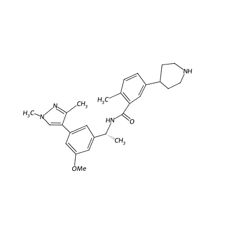 COc1cc(-c2cn(C)nc2C)cc([C@@H](C)NC(=O)c2cc(C3CCNCC3)ccc2C)c1